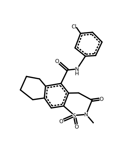 CN1C(=O)Cc2c(cc3c(c2C(=O)Nc2cccc(Cl)c2)CCCC3)S1(=O)=O